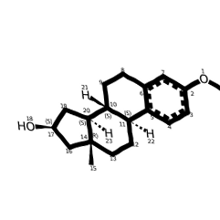 COc1ccc2c(c1)CC[C@@H]1[C@@H]2CC[C@]2(C)C[C@@H](O)C[C@@H]12